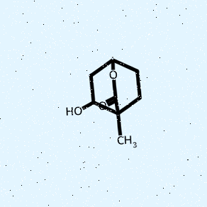 CC12CC[C](CC1O)OC2=O